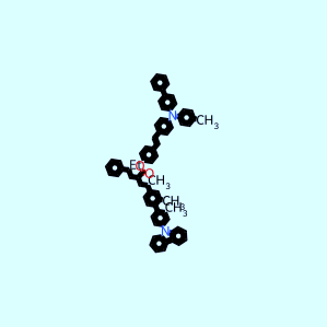 CCC(CC(CC(C)c1ccc(-c2ccc(-n3c4ccccc4c4ccccc43)cc2C)c(C)c1)C(=O)Oc1ccc(/C=C/c2ccc(N(c3ccc(C)cc3)c3ccc(-c4ccccc4)cc3)cc2)cc1)c1ccccc1